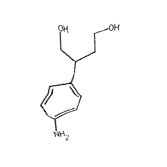 Nc1ccc(C(CO)CCO)cc1